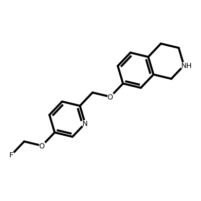 FCOc1ccc(COc2ccc3c(c2)CNCC3)nc1